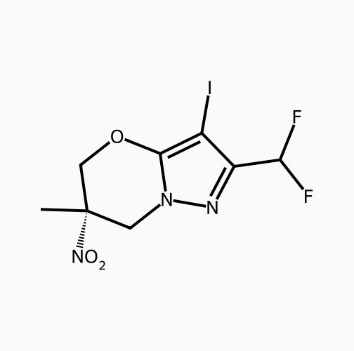 C[C@@]1([N+](=O)[O-])COc2c(I)c(C(F)F)nn2C1